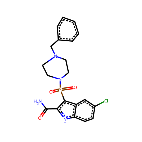 NC(=O)c1[nH]c2ccc(Cl)cc2c1S(=O)(=O)N1CCN(Cc2ccccc2)CC1